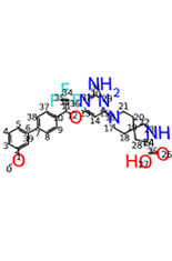 COc1cccc(-c2ccc(C(Oc3cc(N4CCC5(CC4)CN[C@H](C(=O)O)C5)nc(N)n3)C(F)(F)F)cc2)c1